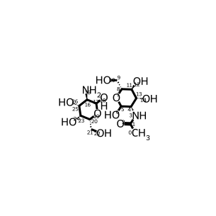 CC(=O)N[C@@H]1C(O)O[C@H](CO)[C@@H](O)[C@@H]1O.N[C@H]1C(O)O[C@H](CO)[C@H](O)[C@@H]1O